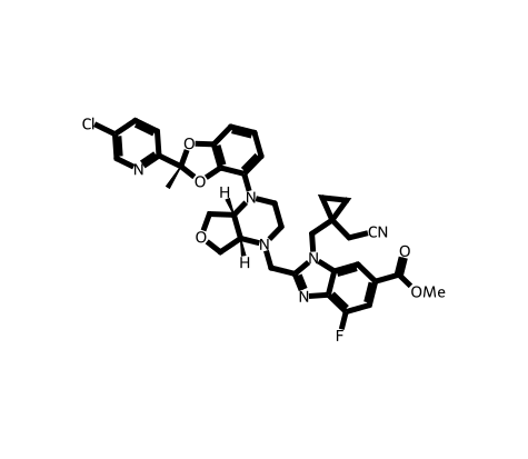 COC(=O)c1cc(F)c2nc(CN3CCN(c4cccc5c4O[C@](C)(c4ccc(Cl)cn4)O5)[C@H]4COC[C@H]43)n(CC3(CC#N)CC3)c2c1